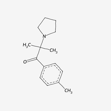 Cc1ccc(C(=O)C(C)(C)N2CCCC2)cc1